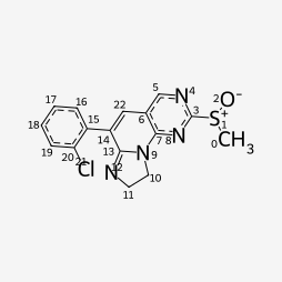 C[S+]([O-])c1ncc2c(n1)N1CCN=C1C(c1ccccc1Cl)=C2